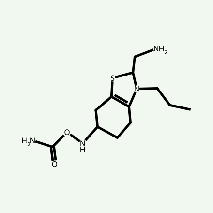 CCCN1C2=C(CC(NOC(N)=O)CC2)SC1CN